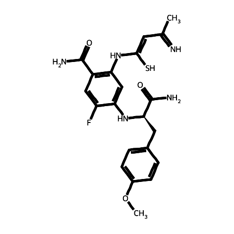 COc1ccc(C[C@@H](Nc2cc(N/C(S)=C/C(C)=N)c(C(N)=O)cc2F)C(N)=O)cc1